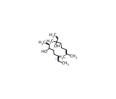 C=CC(C)(O)CCC=C(C)C.C=CC(O)CC/C=C/C